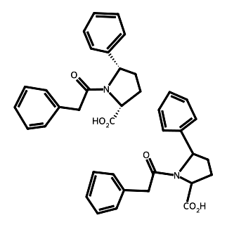 O=C(O)C1CCC(c2ccccc2)N1C(=O)Cc1ccccc1.O=C(O)[C@H]1CC[C@@H](c2ccccc2)N1C(=O)Cc1ccccc1